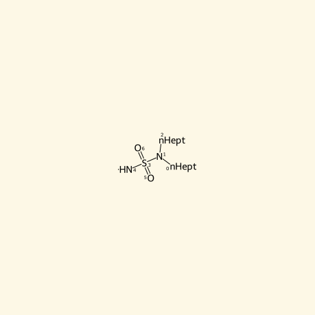 CCCCCCCN(CCCCCCC)S([NH])(=O)=O